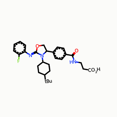 CC(C)(C)C1CCC(N2/C(=N/c3ccccc3F)OCC2c2ccc(C(=O)NCCC(=O)O)cc2)CC1